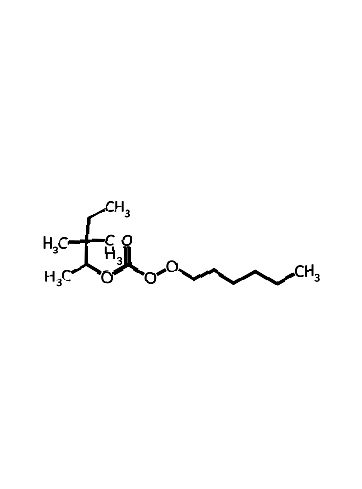 CCCCCCOOC(=O)OC(C)C(C)(C)CC